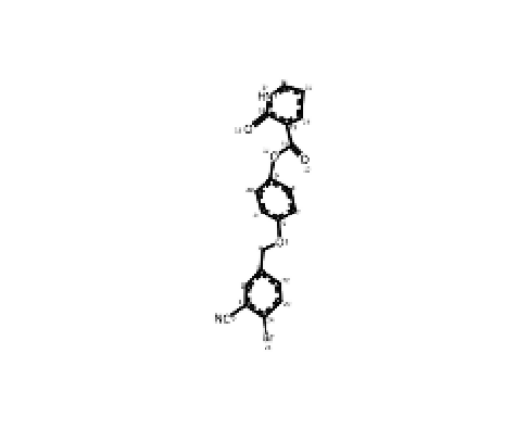 N#Cc1cc(COc2ccc(OC(=O)c3ccc[nH]c3=O)cc2)ccc1Br